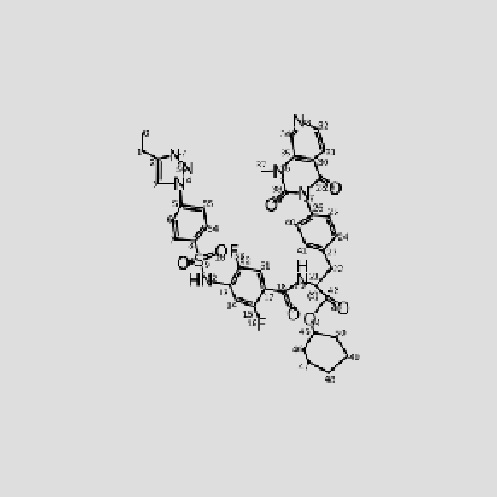 CCc1cn(-c2ccc(S(=O)(=O)Nc3cc(F)c(C(=O)N[C@@H](Cc4ccc(-n5c(=O)c6ccncc6n(C)c5=O)cc4)C(=O)OC4CCCCC4)cc3F)cc2)nn1